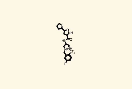 O=C(NC1CNN(Cc2cc(F)ccc2C(F)(F)F)C1)C1CC(C2CCCO2)ON1